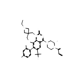 C=CC(=O)N1C[C@H](C)N(c2nc(=O)n3c4c(c(-c5ccc(F)cc5F)c(C(F)(F)F)cc24)SCC2(CN(CC)C2)C3)C[C@H]1C